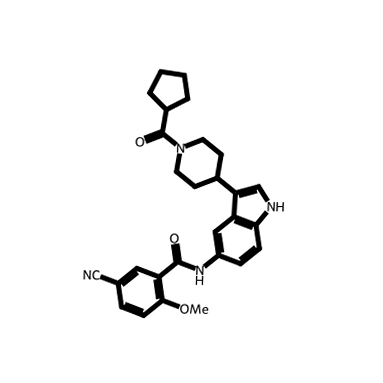 COc1ccc(C#N)cc1C(=O)Nc1ccc2[nH]cc(C3CCN(C(=O)C4CCCC4)CC3)c2c1